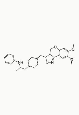 COc1cc2c(cc1OC)C1=NOC(CN3CCN(CC(C)Nc4ccccc4)CC3)C1CO2